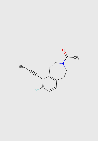 CC(C)(C)C#Cc1c(F)ccc2c1CCN(C(=O)C(F)(F)F)CC2